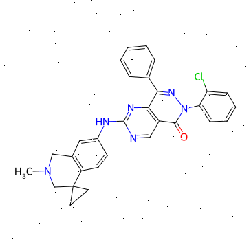 CN1Cc2cc(Nc3ncc4c(=O)n(-c5ccccc5Cl)nc(-c5ccccc5)c4n3)ccc2C2(CC2)C1